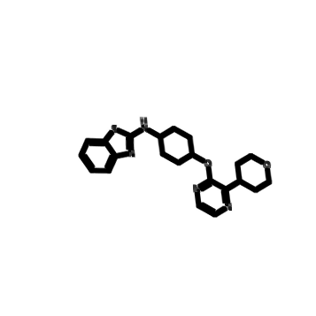 c1ccc2sc(NC3CCC(Oc4nccnc4C4CCOCC4)CC3)nc2c1